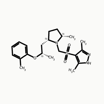 Cc1ccccc1O[C@@H](C)C[C@@H]1CC[C@H](C)N1CS(=O)(=O)c1c(C)n[nH]c1C